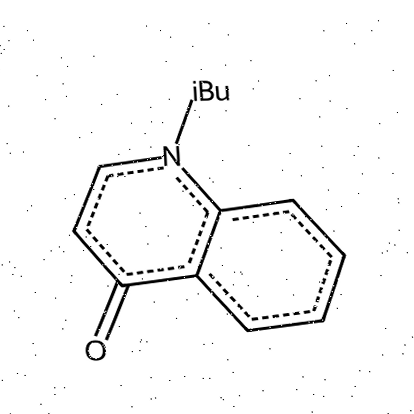 CCC(C)n1ccc(=O)c2ccccc21